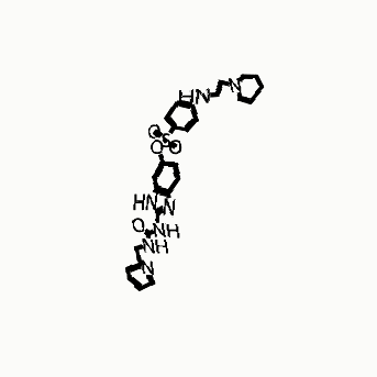 O=C(NCc1ccccn1)Nc1nc2ccc(OS(=O)(=O)c3ccc(NCCN4CCCCC4)cc3)cc2[nH]1